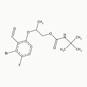 CC(COC(=O)NC(C)(C)C)Oc1ccc(F)c(Br)c1C=O